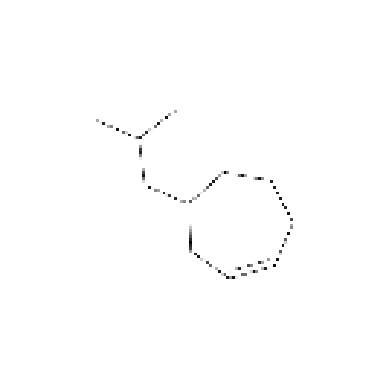 CC(C)CC1CC=CCCC1